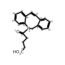 O=C(O)CCCC(=O)N1Cc2ccccc2/C=C\c2ccccc21